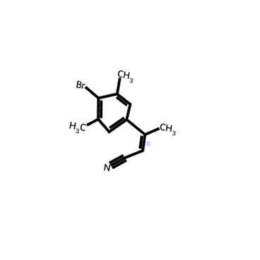 C/C(=C/C#N)c1cc(C)c(Br)c(C)c1